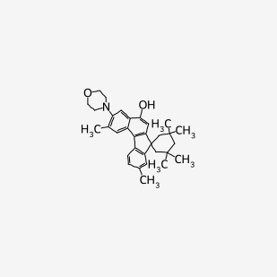 Cc1ccc2c(c1)C1(CC(C)(C)CC(C)(C)C1)c1cc(O)c3cc(N4CCOCC4)c(C)cc3c1-2